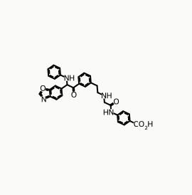 O=C(CNCCc1cccc(C(=O)C(Nc2ccccc2)c2ccc3ncoc3c2)c1)Nc1ccc(C(=O)O)cc1